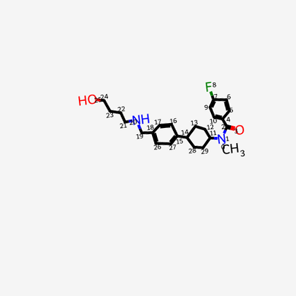 CN(C(=O)c1ccc(F)cc1)C1CCC(c2ccc(CNCCCCO)cc2)CC1